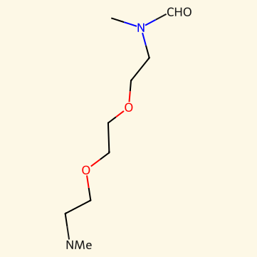 CNCCOCCOCCN(C)C=O